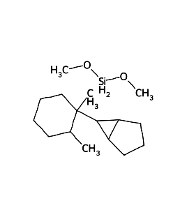 CC1CCCCC1(C)C1C2CCCC21.CO[SiH2]OC